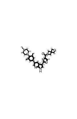 Cc1cc(-c2cnc3[nH]cc(-c4nc(C(=O)N5CC6(COC6)C5)co4)c3c2)cc(C)c1N1CCN(C)CC1